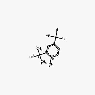 CC(C)(O)c1cc(C(F)(F)F)ccc1O